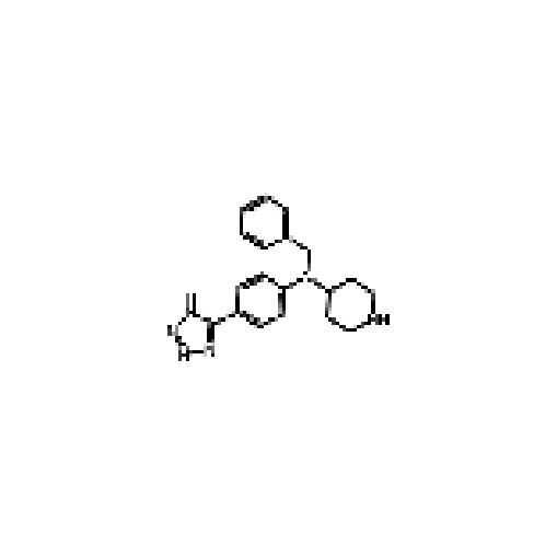 c1ccc(CN(c2ccc(-c3nnn[nH]3)cc2)C2CCNCC2)cc1